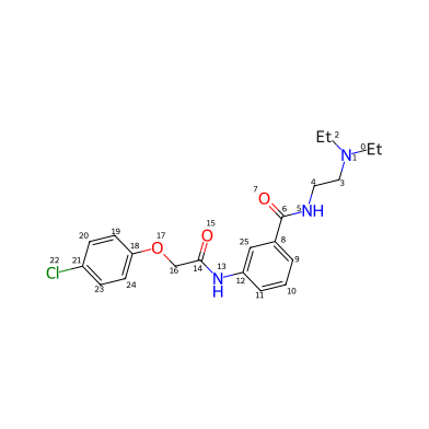 CCN(CC)CCNC(=O)c1cccc(NC(=O)COc2ccc(Cl)cc2)c1